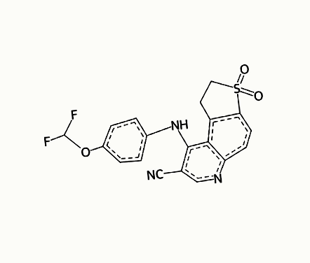 N#Cc1cnc2ccc3c(c2c1Nc1ccc(OC(F)F)cc1)CCS3(=O)=O